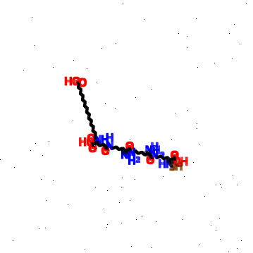 N[C@@H](CCCCNC(=O)CCC(NC(=O)CCCCCCCCCCCCCCCCC(=O)O)C(=O)O)C(=O)NCCCC[C@H](N)C(=O)NCCCC[C@H](NS)C(=O)O